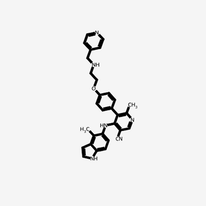 Cc1ncc(C#N)c(Nc2ccc3[nH]ccc3c2C)c1-c1ccc(OCCNCc2ccncc2)cc1